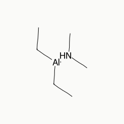 CNC.C[CH2][Al][CH2]C